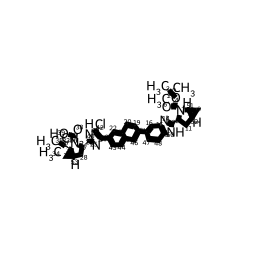 CC(C)(C)OC(=O)N1[C@@H]2C[C@@H]2C[C@H]1c1nc2cc(-c3ccc4cc(-c5nc([C@@H]6C[C@@H]7C[C@@]7(C(C)(C)C)N6C(=O)O)[nH]c5Cl)ccc4c3)ccc2[nH]1